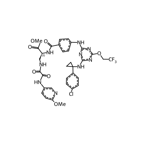 COC(=O)[C@H](CNC(=O)C(=O)Nc1ccc(OC)nc1)NC(=O)c1ccc(Nc2nc(NC3(c4ccc(Cl)cc4)CC3)nc(OCC(F)(F)F)n2)cc1